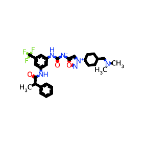 CC(C(=O)Nc1cc(NC(=O)[N-]c2c[n+](C3CCC(CN(C)C)CC3)no2)cc(C(F)(F)F)c1)c1ccccc1